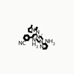 C=C(/N=C(\C=C(/N)c1cccc(C#N)c1)N1CCN(c2ncccc2N)C[C@H]1C)N1CCCC1C